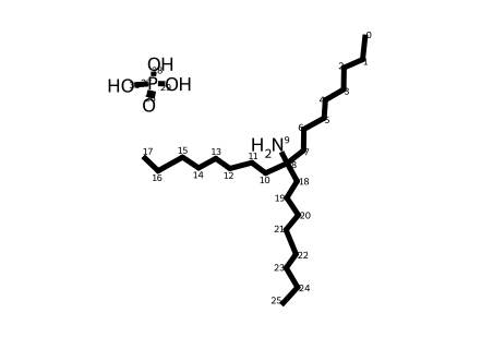 CCCCCCCCC(N)(CCCCCCCC)CCCCCCCC.O=P(O)(O)O